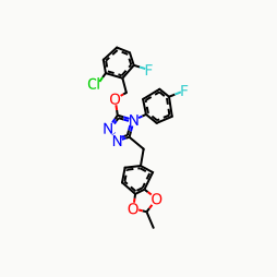 CC1Oc2ccc(Cc3nnc(OCc4c(F)cccc4Cl)n3-c3ccc(F)cc3)cc2O1